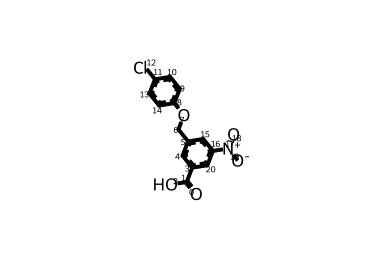 O=C(O)c1cc(COc2ccc(Cl)cc2)cc([N+](=O)[O-])c1